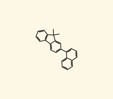 CC1(C)c2[c]cccc2-c2ccc(-c3cccc4ccccc34)cc21